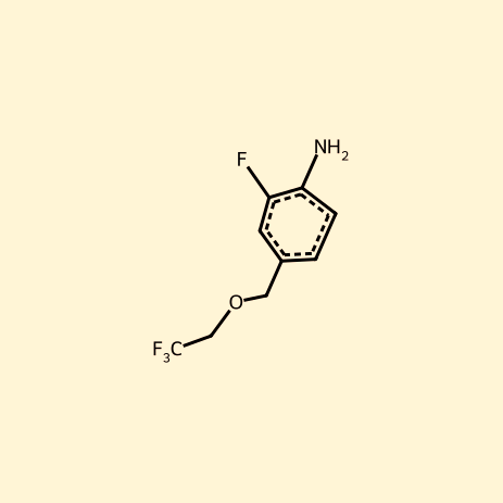 Nc1ccc(COCC(F)(F)F)cc1F